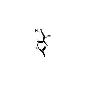 Cc1nc([C@H](C)N)no1